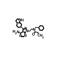 C=CC(=O)N(CCn1nc(-c2ccc3cc[nH]c3c2)c2c(N)ncnc21)Cc1ccccc1